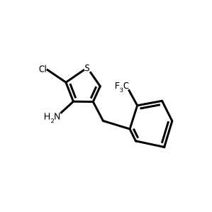 Nc1c(Cc2ccccc2C(F)(F)F)csc1Cl